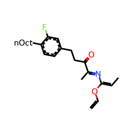 C=COC(=C/C)/N=C(\C)C(=O)CCc1ccc(CCCCCCCC)c(F)c1